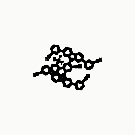 N#Cc1cccc(-c2ccc3c4ccc(-c5cccc(C#N)c5)cc4n(-c4cc(-c5c(C#N)cccc5C(F)(F)F)c(-n5c6cc(-c7cccc(C#N)c7)ccc6c6ccc(-c7cccc(C#N)c7)cc65)cc4C#N)c3c2)c1